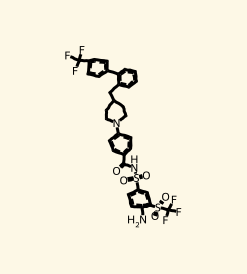 Nc1ccc(S(=O)(=O)NC(=O)c2ccc(N3CCC(Cc4ccccc4-c4ccc(C(F)(F)F)cc4)CC3)cc2)cc1S(=O)(=O)C(F)(F)F